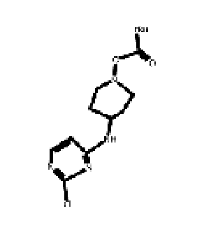 CC(C)(C)C(=O)ON1CCC(Nc2ccnc(Cl)n2)CC1